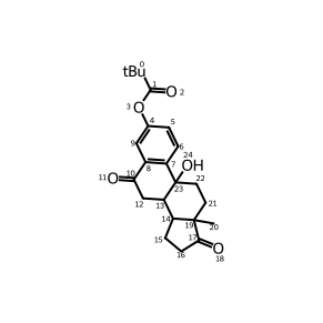 CC(C)(C)C(=O)Oc1ccc2c(c1)C(=O)CC1C3CCC(=O)C3(C)CCC21O